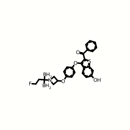 BC(B)(CCF)N1CC(Oc2ccc(Oc3c(C(=O)c4ccccc4)sc4cc(O)ccc34)cc2)C1